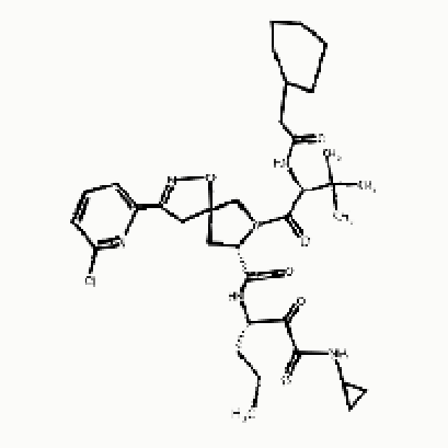 CCC[C@H](NC(=O)[C@@H]1C[C@]2(CC(c3cccc(Cl)n3)=NO2)CN1C(=O)[C@@H](NC(=O)CC1CCCCC1)C(C)(C)C)C(=O)C(=O)NC1CC1